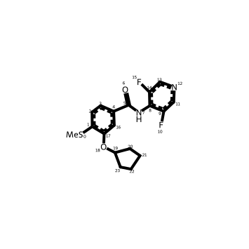 CSc1ccc(C(=O)Nc2c(F)cncc2F)cc1OC1CCCC1